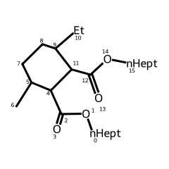 CCCCCCCOC(=O)C1C(C)CCC(CC)C1C(=O)OCCCCCCC